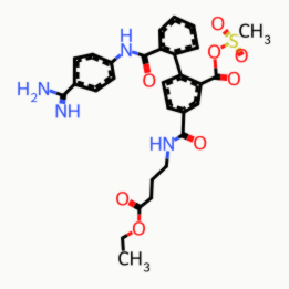 CCOC(=O)CCCNC(=O)c1ccc(-c2ccccc2C(=O)Nc2ccc(C(=N)N)cc2)c(C(=O)OS(C)(=O)=O)c1